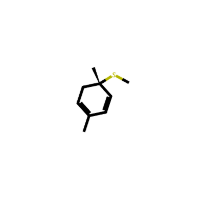 CS[C@]1(C)C=CC(C)=CC1